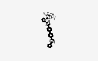 CC(C)(C)OC(=O)N1CCC[C@H]1c1ncc(-c2ccc(-c3ccc(C4CN=C(C5CCCC5)S4)cc3)cc2)s1